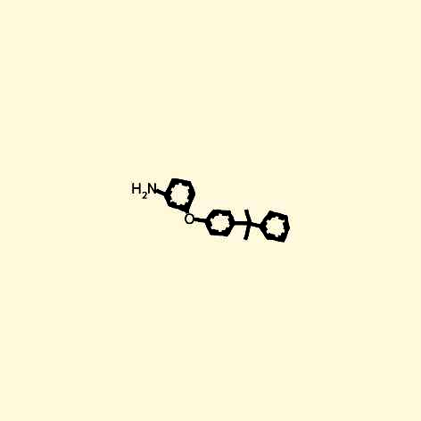 CC(C)(c1ccccc1)c1ccc(Oc2cccc(N)c2)cc1